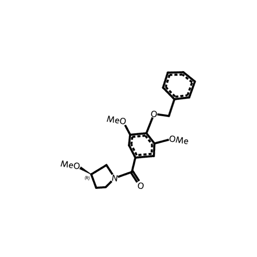 COc1cc(C(=O)N2CC[C@@H](OC)C2)cc(OC)c1OCc1ccccc1